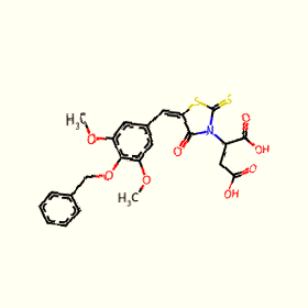 COc1cc(C=C2SC(=S)N(C(CC(=O)O)C(=O)O)C2=O)cc(OC)c1OCc1ccccc1